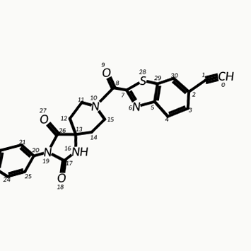 C#Cc1ccc2nc(C(=O)N3CCC4(CC3)NC(=O)N(c3ccccc3)C4=O)sc2c1